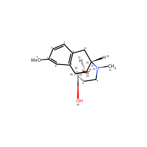 COc1ccc2c(c1)[C@@]13CCN(C)[C@@H](C2)[C@H]1CC[C@@H](O)C3